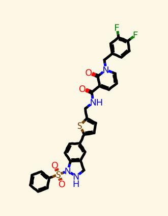 O=C(NCc1ccc(-c2ccc3c(c2)CNN3S(=O)(=O)c2ccccc2)s1)c1cccn(Cc2ccc(F)c(F)c2)c1=O